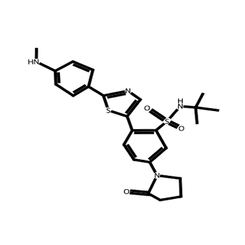 CNc1ccc(-c2ncc(-c3ccc(N4CCCC4=O)cc3S(=O)(=O)NC(C)(C)C)s2)cc1